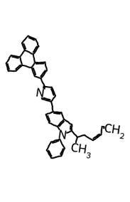 C=C/C=C\CC(C)c1cc2cc(-c3ccc(-c4ccc5c6ccccc6c6ccccc6c5c4)nc3)ccc2n1-c1ccccc1